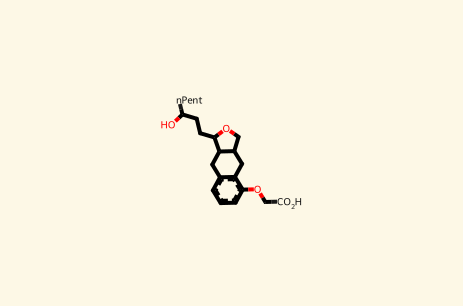 CCCCCC(O)CCC1OCC2Cc3c(cccc3OCC(=O)O)CC21